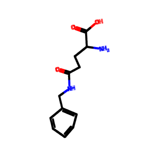 NC(CCC(=O)NCc1ccccc1)C(=O)O